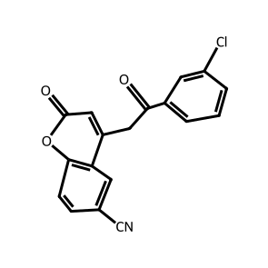 N#Cc1ccc2oc(=O)cc(CC(=O)c3cccc(Cl)c3)c2c1